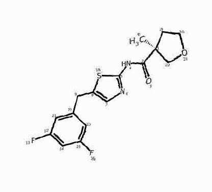 C[C@]1(C(=O)Nc2ncc(Cc3cc(F)cc(F)c3)s2)CCOC1